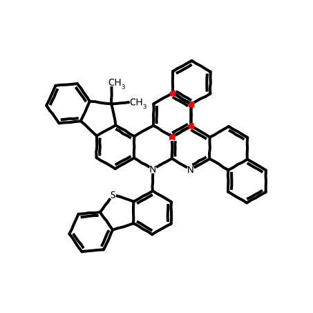 CC1(C)c2ccccc2-c2ccc(N(c3nc(-c4ccccc4)c4ccc5ccccc5c4n3)c3cccc4c3sc3ccccc34)c(-c3ccccc3)c21